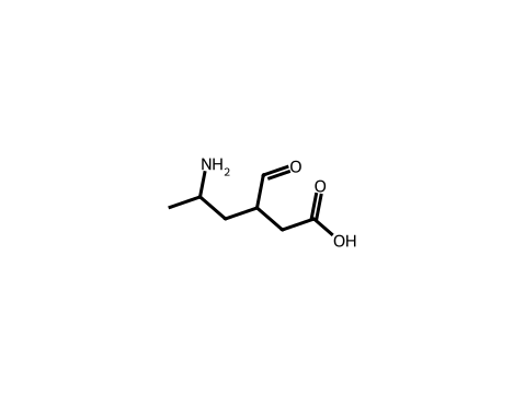 CC(N)CC(C=O)CC(=O)O